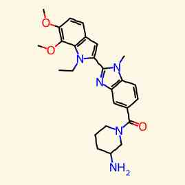 CCn1c(-c2nc3cc(C(=O)N4CCCC(N)C4)ccc3n2C)cc2ccc(OC)c(OC)c21